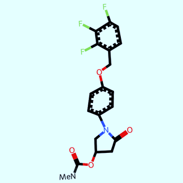 CNC(=O)OC1CC(=O)N(c2ccc(OCc3ccc(F)c(F)c3F)cc2)C1